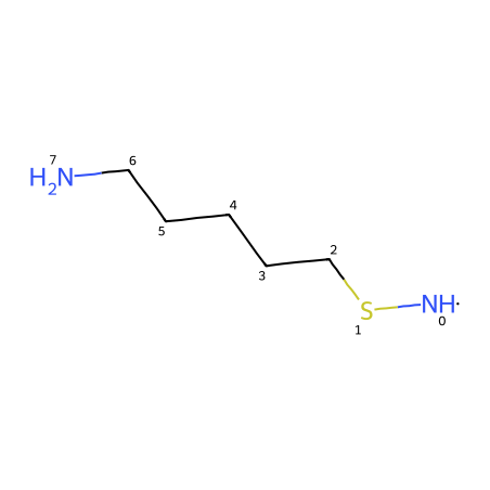 [NH]SCCCCCN